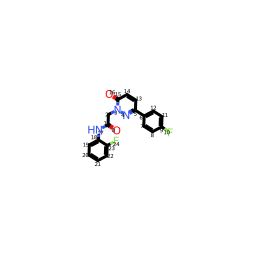 O=C(Cn1nc(-c2ccc(F)cc2)ccc1=O)Nc1ccccc1F